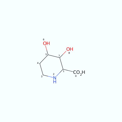 O=C(O)C1NCCC(O)C1O